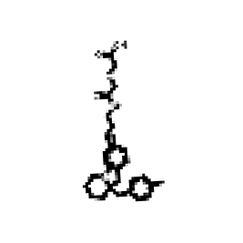 Cc1ccc(CC2(Cc3ccc(C)cc3)CCCCN2CCCCCCNC(=O)COCC(=O)O)cc1